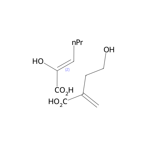 C=C(CCO)C(=O)O.CCC/C=C(\O)C(=O)O